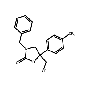 O=C1OC(CC(F)(F)F)(c2ccc(C(F)(F)F)cc2)CN1Cc1ccccc1